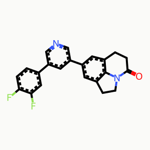 O=C1CCc2cc(-c3cncc(-c4ccc(F)c(F)c4)c3)cc3c2N1CC3